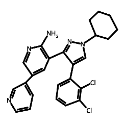 Nc1ncc(-c2cccnc2)cc1-c1nn(C2CCCCC2)cc1-c1cccc(Cl)c1Cl